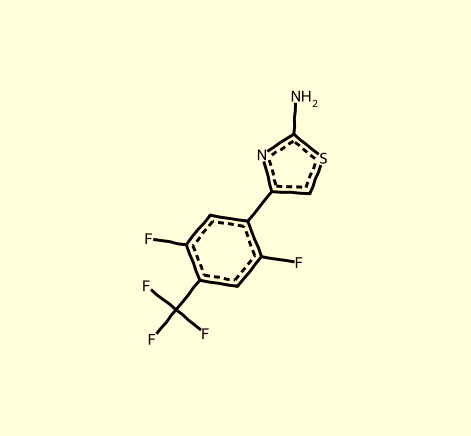 Nc1nc(-c2cc(F)c(C(F)(F)F)cc2F)cs1